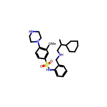 COc1cc(S(=O)(=O)Nc2ccccc2CNCC(C)C2CCCCC2)ccc1N1CCNCC1